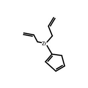 C=C[CH2][Zr]([CH2]C=C)[C]1=CC=CC1